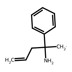 [CH2]C(N)(CC=C)c1ccccc1